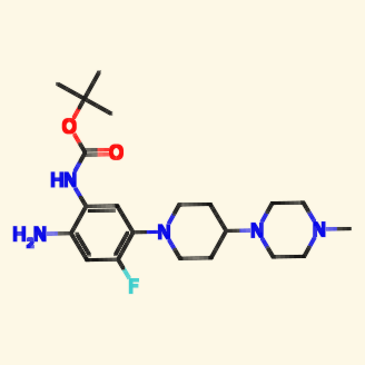 CN1CCN(C2CCN(c3cc(NC(=O)OC(C)(C)C)c(N)cc3F)CC2)CC1